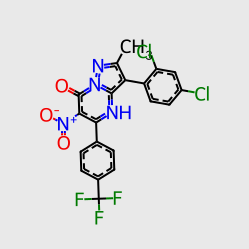 Cc1nn2c(=O)c([N+](=O)[O-])c(-c3ccc(C(F)(F)F)cc3)[nH]c2c1-c1ccc(Cl)cc1Cl